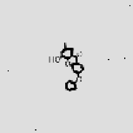 Cc1cc(O)c2oc3cc(Oc4ccccc4)ccc3c(=O)c2c1